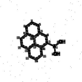 OB(O)c1cc2cccc3ccc4cccc1c4c32